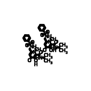 CC(C)NC(=O)c1c(O)c(=O)cc(CNS(=O)(=O)c2ccccc2)n1C.CC(C)NC(=O)c1c(O)c(=O)cc(CNS(=O)(=O)c2ccccc2)n1C